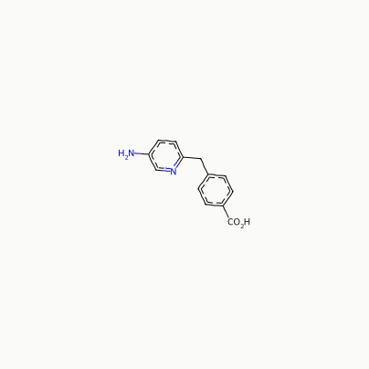 Nc1ccc(Cc2ccc(C(=O)O)cc2)nc1